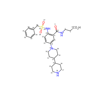 O=C(O)CCNC(=O)c1cc(N2CCC(C3CCNCC3)CC2)ccc1NS(=O)(=O)Cc1ccccc1